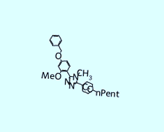 CCCCCC12CCC(c3nnc(-c4ccc(OCc5ccccc5)cc4OC)n3C)(CC1)CC2